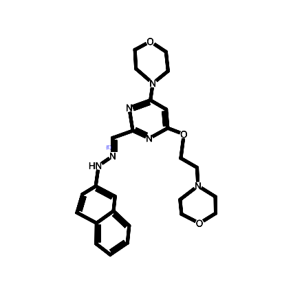 C(=N\Nc1ccc2ccccc2c1)/c1nc(OCCN2CCOCC2)cc(N2CCOCC2)n1